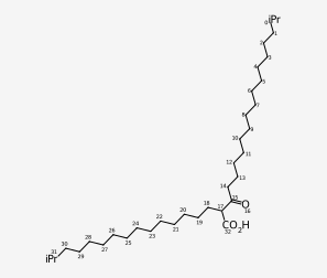 CC(C)CCCCCCCCCCCCCCC(=O)C(CCCCCCCCCCCCCC(C)C)C(=O)O